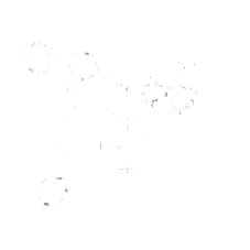 Nc1ncnc2c1nc(NCc1ccc(-c3ccccc3)c(OCCCOCc3ccccc3)c1)n2[C@@H]1O[C@H](CO)[C@@H](O)[C@H]1O